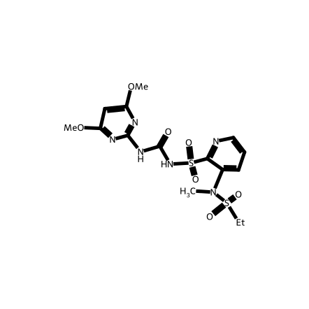 CCS(=O)(=O)N(C)c1cccnc1S(=O)(=O)NC(=O)Nc1nc(OC)cc(OC)n1